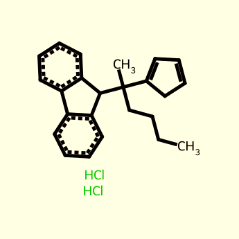 CCCCC(C)(C1=CC=CC1)C1c2ccccc2-c2ccccc21.Cl.Cl